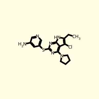 CCc1[nH]c2nc(Sc3cncc(N)c3)nc(N3CCCC3)c2c1Cl